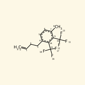 C=CCCc1ccc(C)c(C(F)(F)F)c1C(F)(F)F